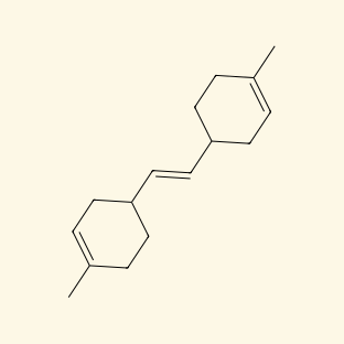 CC1=CCC(/C=C/C2CC=C(C)CC2)CC1